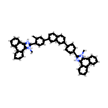 Cc1cc(-c2ccc3ccc(-c4ccc(-c5nc6c7ccccc7c7ccccc7c6n5C)cc4)cc3c2)ccc1-c1nc2c3ccccc3c3ccccc3c2n1C